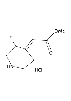 COC(=O)C=C1CCNCC1F.Cl